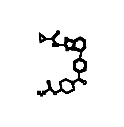 NC(=O)OC1CCN(C(=O)c2ccc(-c3cccc4nc(NC(=O)C5CC5)nn34)cc2)CC1